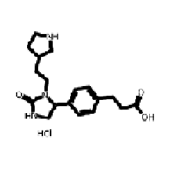 Cl.O=C(O)CCc1ccc(C2CNC(=O)N2CCC2CCNC2)cc1